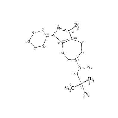 CC(C)(C)OC(=O)N1CCc2c(Br)nn(C3CCOCC3)c2CC1